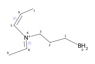 BCCC[N+](/C=C\C)=C/C